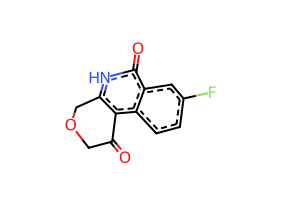 O=C1COCc2[nH]c(=O)c3cc(F)ccc3c21